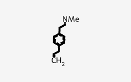 C=CCc1ccc(CCNC)cc1